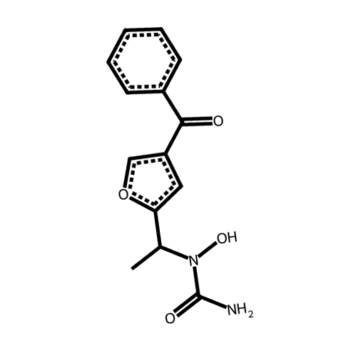 CC(c1cc(C(=O)c2ccccc2)co1)N(O)C(N)=O